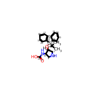 CC(C)(C)[Si](OC1CNCC1NC(=O)O)(c1ccccc1)c1ccccc1